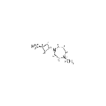 CN1CCCN([C@H]2C[C@H](C)C2)CC1